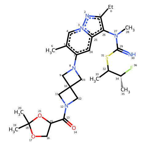 CCc1nn2cc(C)c(N3CC4(CN(C(=O)C5COC(C)(C)O5)C4)C3)cc2c1N(C)C(=N)SC(C)[C@@H](C)F